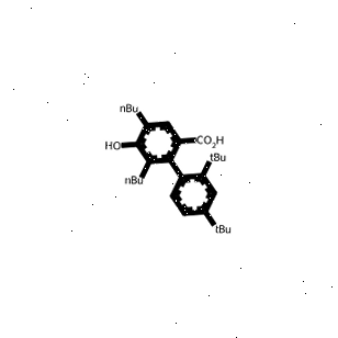 CCCCc1cc(C(=O)O)c(-c2ccc(C(C)(C)C)cc2C(C)(C)C)c(CCCC)c1O